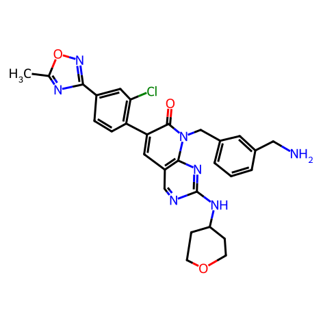 Cc1nc(-c2ccc(-c3cc4cnc(NC5CCOCC5)nc4n(Cc4cccc(CN)c4)c3=O)c(Cl)c2)no1